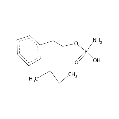 CCCC.NP(=O)(O)OCCc1ccccc1